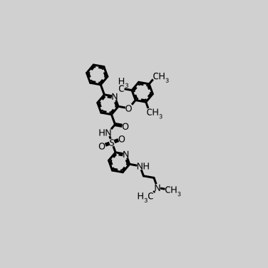 Cc1cc(C)c(Oc2nc(-c3ccccc3)ccc2C(=O)NS(=O)(=O)c2cccc(NCCN(C)C)n2)c(C)c1